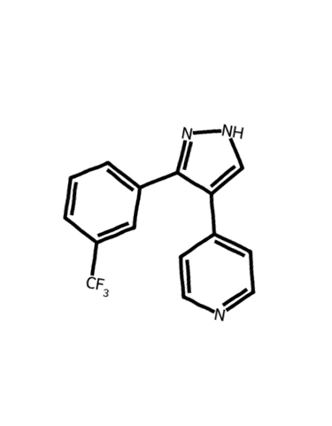 FC(F)(F)c1cccc(-c2n[nH]cc2-c2ccncc2)c1